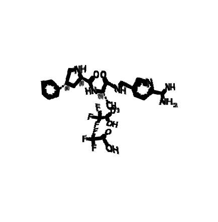 C[C@H](NC(=O)[C@H]1C[C@H](c2ccccc2)CN1)C(=O)NCc1ccc(C(=N)N)nc1.O=C(O)C(F)(F)F.O=C(O)C(F)(F)F